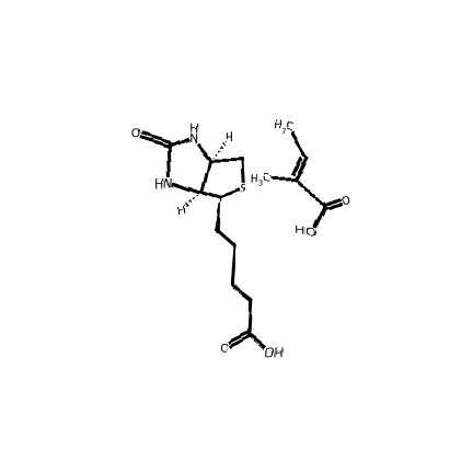 C/C=C(\C)C(=O)O.O=C(O)CCCC[C@@H]1SC[C@@H]2NC(=O)N[C@@H]21